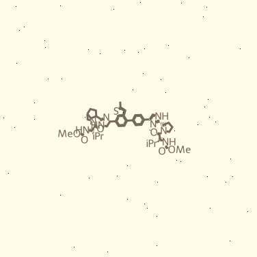 COC(=O)N[C@H](C(=O)N1CCC[C@H]1c1nc(-c2ccc(-c3ccc(C4CNC(C56CCC(CN5C(=O)[C@@H](NC(=O)OC)C(C)C)C6)=N4)c4sc(C)cc34)cc2)c[nH]1)C(C)C